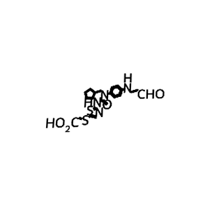 O=CCCNc1ccc(N(CC2CCCC2)C(=O)Nc2ncc(SCC(=O)O)s2)cc1